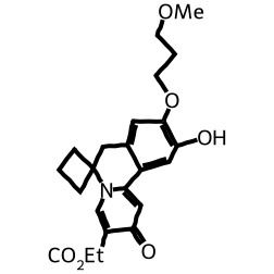 CCOC(=O)c1cn2c(cc1=O)-c1cc(O)c(OCCCOC)cc1CC21CCC1